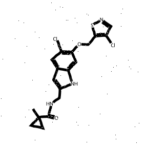 CC1(C(=O)NCc2cc3cc(Cl)c(OCc4sncc4Cl)cc3[nH]2)CC1